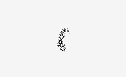 C=C1NC(=O)CCC1Nc1ccc(N2CCN(C(=O)OC(C)(C)C)CC2)cc1